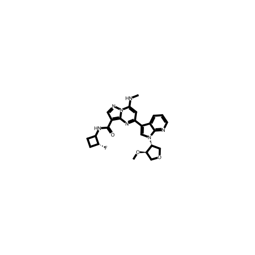 CNc1cc(-c2cn([C@@H]3COC[C@H]3OC)c3ncccc23)nc2c(C(=O)NC3CC[C@H]3F)cnn12